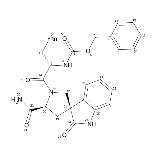 CC(C)(C)C[C@H](NC(=O)OCc1ccccc1)C(=O)N1C[C@]2(C[C@H]1C(N)=O)C(=O)Nc1ccccc12